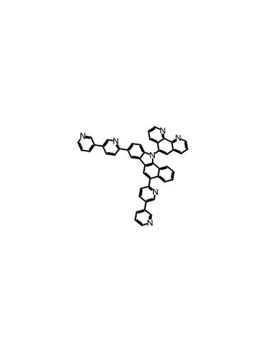 c1cncc(-c2ccc(-c3ccc4c(c3)c3cc(-c5ccc(-c6cccnc6)cn5)c5ccccc5c3n4-c3cc4cccnc4c4ncccc34)nc2)c1